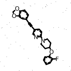 Fc1ccccc1OC1CCN(c2ccc(C#Cc3ccc4c(c3)OCO4)cn2)CC1